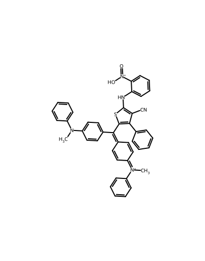 CN(c1ccccc1)c1ccc(C(=C2C=CC(=[N+](C)c3ccccc3)C=C2)c2sc(Nc3ccccc3[N+](=O)O)c(C#N)c2-c2ccccc2)cc1